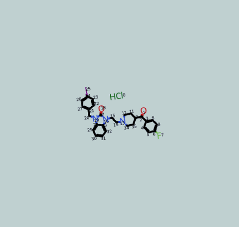 Cl.O=C(c1ccc(F)cc1)C1CCN(CCn2c(=O)n(Cc3ccc(I)cc3)c3ccccc32)CC1